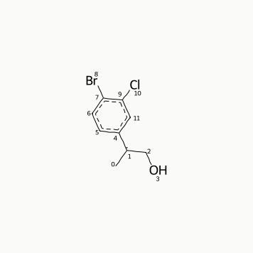 C[C](CO)c1ccc(Br)c(Cl)c1